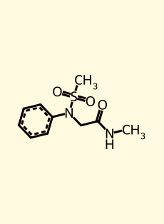 CNC(=O)CN(c1ccccc1)S(C)(=O)=O